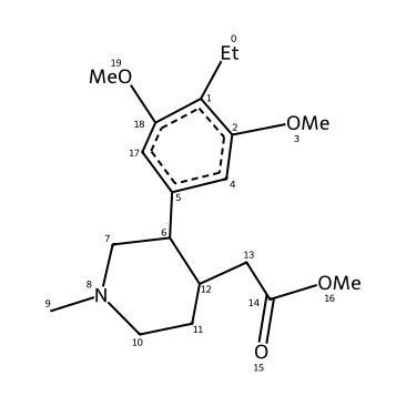 CCc1c(OC)cc(C2CN(C)CCC2CC(=O)OC)cc1OC